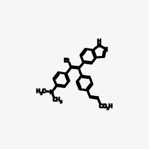 CC/C(=C(/c1ccc(/C=C/C(=O)O)cc1)c1ccc2[nH]ncc2c1)c1ccc(N(C)C)cc1